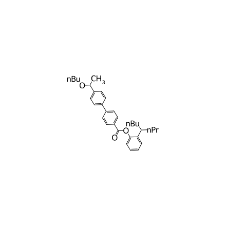 CCCCOC(C)c1ccc(-c2ccc(C(=O)Oc3ccccc3C(CCC)CCCC)cc2)cc1